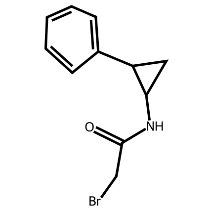 O=C(CBr)NC1CC1c1ccccc1